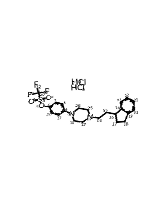 Cl.Cl.O=S(=O)(Oc1ccc(N2CCN(CCC3CCc4ccccc43)CC2)cc1)C(F)(F)F